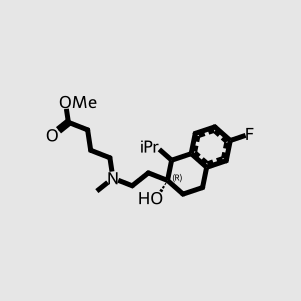 COC(=O)CCCN(C)CC[C@]1(O)CCc2cc(F)ccc2C1C(C)C